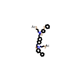 CC(=O)SCCCN1/C(=C/C2=CC3=C/C(=C/c4sc5ccc(-c6ccccc6)cc5[n+]4CCCSC(C)=O)CCC3CC2)Sc2ccc(Sc3ccccc3)cc21